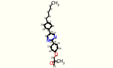 CCCCCCc1ccc(-c2cnc(-c3ccc(OC[C@@]4(C)CO4)cc3)nc2)cc1